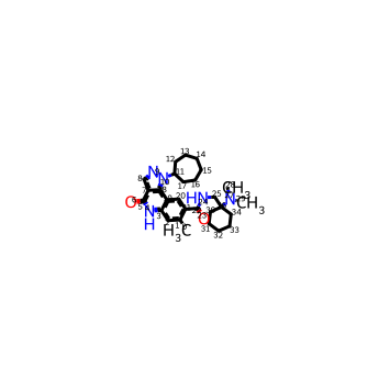 Cc1cc2[nH]c(=O)c3cnn(C4CCCCCC4)c3c2cc1C(=O)NCC1(N(C)C)CCCCC1